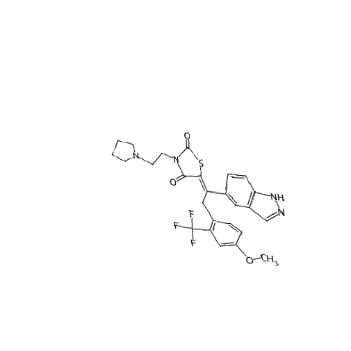 COc1ccc(C/C(=C2/SC(=O)N(CCN3CCCC3)C2=O)c2ccc3[nH]ncc3c2)c(C(F)(F)F)c1